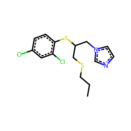 CCCSCC(Cn1ccnc1)Sc1ccc(Cl)cc1Cl